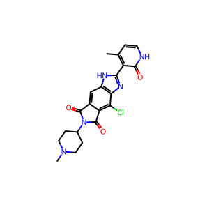 Cc1cc[nH]c(=O)c1-c1nc2c(Cl)c3c(cc2[nH]1)C(=O)N(C1CCN(C)CC1)C3=O